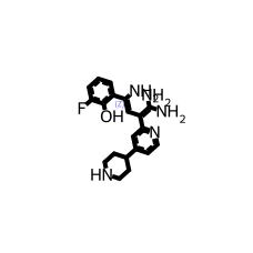 NC(N)=C(/C=C(\N)c1cccc(F)c1O)c1cc(C2CCNCC2)ccn1